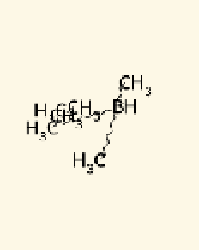 CCCCBC(CCCCCCCC)CCCCCCC(CC(C)C)C(C)C